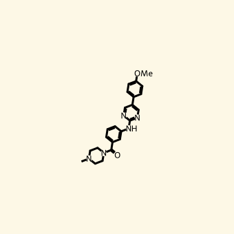 COc1ccc(-c2cnc(Nc3cccc(C(=O)N4CCN(C)CC4)c3)nc2)cc1